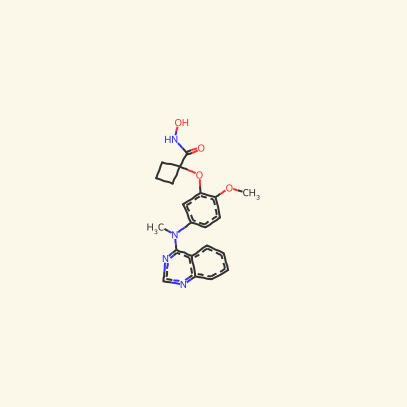 COc1ccc(N(C)c2ncnc3ccccc23)cc1OC1(C(=O)NO)CCC1